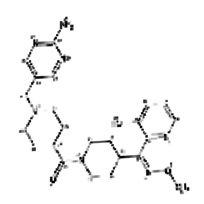 CO/N=C(\c1ncccc1O)C1CCN(C(=O)C2CCN(Cc3cnc(N)nc3)CC2)CC1